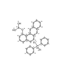 CC[PH](CC)(c1ccccc1)c1ccccc1.OB(O)Oc1cccc2ccc3cc4ccccc4cc3c12